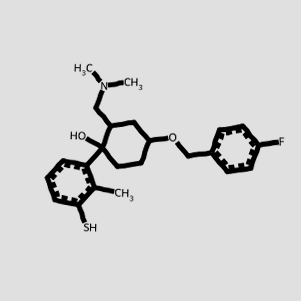 Cc1c(S)cccc1C1(O)CCC(OCc2ccc(F)cc2)CC1CN(C)C